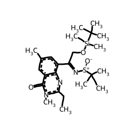 CCc1nc2c(C(CO[Si](C)(C)C(C)(C)C)=N[S@+]([O-])C(C)(C)C)cc(C)cc2c(=O)n1C